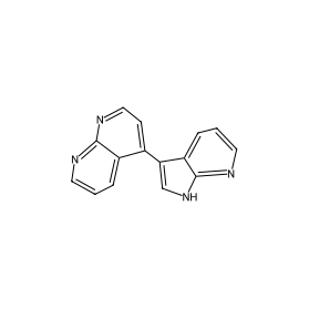 c1cnc2nccc(-c3c[nH]c4ncccc34)c2c1